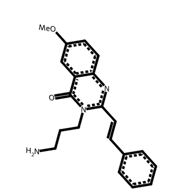 COc1ccc2nc(/C=C/c3ccccc3)n(CCCN)c(=O)c2c1